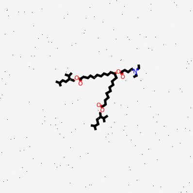 CCN(CC)CCCC(=O)OC(CCCCCCCCCC(=O)OCC(CCC(C)C)C(C)C)CCCCCCCCCC(=O)OCC(CCC(C)C)C(C)C